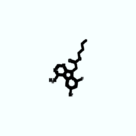 CCCCOC(=O)Cn1c2ncnc(N)c2c2cc(Br)cc(F)c21